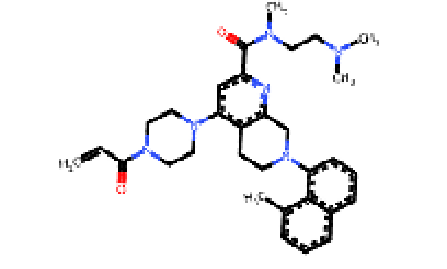 C=CC(=O)N1CCN(c2cc(C(=O)N(C)CCN(C)C)nc3c2CCN(c2cccc4cccc(C)c24)C3)CC1